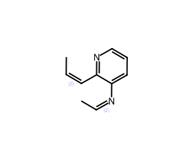 C/C=C\c1ncccc1/N=C\C